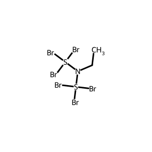 CCN(S(Br)(Br)Br)S(Br)(Br)Br